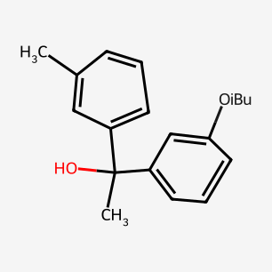 Cc1cccc(C(C)(O)c2cccc(OCC(C)C)c2)c1